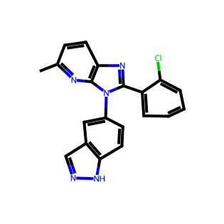 Cc1ccc2nc(-c3ccccc3Cl)n(-c3ccc4[nH]ncc4c3)c2n1